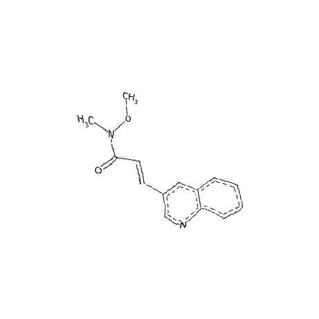 CON(C)C(=O)C=Cc1cnc2ccccc2c1